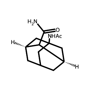 CC(=O)NC12CC3C[C@H](C1)C(C(N)=O)[C@@H](C3)C2